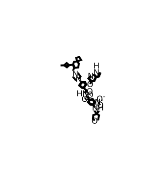 CC12CC(C3=C(CN4CCN(c5ccc(C(=O)NS(=O)(=O)c6ccc(NCC7(F)CCOCC7)c([N+](=O)[O-])c6)c(Oc6cnc7[nH]ccc7c6)c5)CC4)CCC4(CCC4)C3)(C1)C2